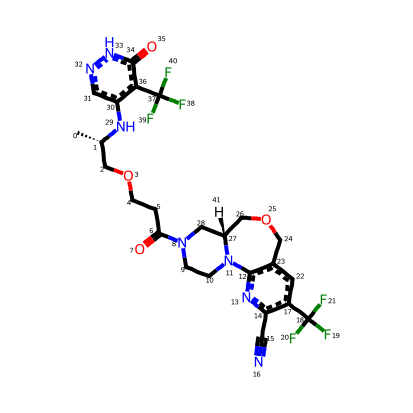 C[C@@H](COCCC(=O)N1CCN2c3nc(C#N)c(C(F)(F)F)cc3COC[C@H]2C1)Nc1cn[nH]c(=O)c1C(F)(F)F